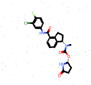 CN(C(=O)O[C@@H]1CCC(=O)N1)[C@H]1CCc2c(C(=O)Nc3ccc(F)c(Cl)c3)cccc21